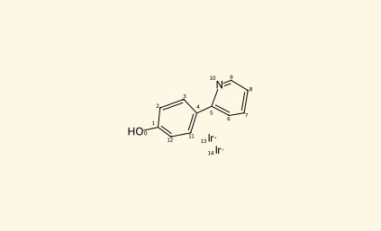 Oc1ccc(-c2ccccn2)cc1.[Ir].[Ir]